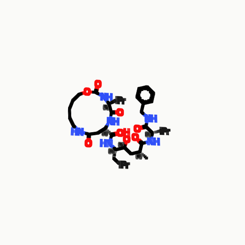 CC(C)C[C@H](NC(=O)[C@@H]1CC(=O)NCCCCCOC(=O)N[C@@H](C(C)C)C(=O)N1)[C@@H](O)C[C@@H](C)C(=O)N[C@H](C(=O)NCc1ccccc1)C(C)C